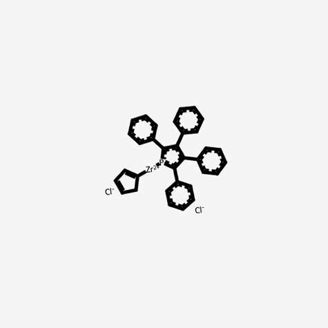 C1=CC[C]([Zr+2][p]2c(-c3ccccc3)c(-c3ccccc3)c(-c3ccccc3)c2-c2ccccc2)=C1.[Cl-].[Cl-]